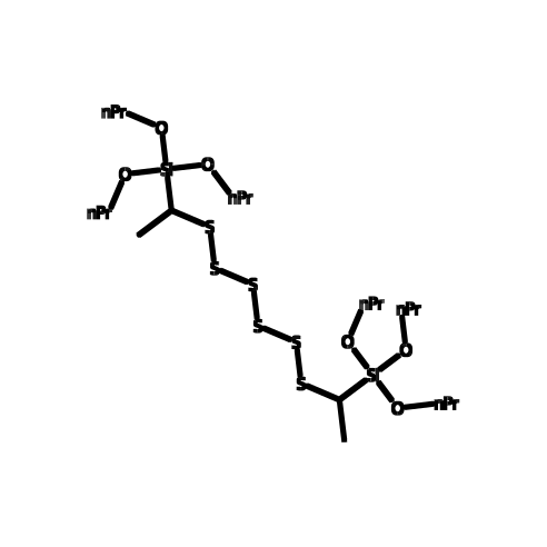 CCCO[Si](OCCC)(OCCC)C(C)SSSSSSC(C)[Si](OCCC)(OCCC)OCCC